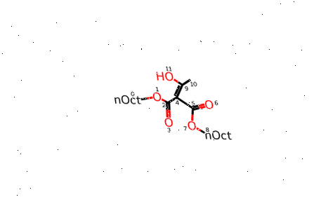 CCCCCCCCOC(=O)C(C(=O)OCCCCCCCC)=C(C)O